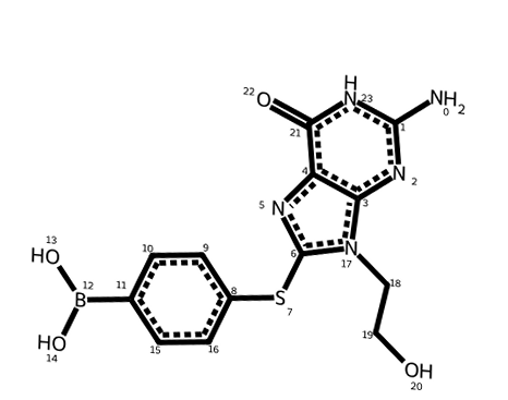 Nc1nc2c(nc(Sc3ccc(B(O)O)cc3)n2CCO)c(=O)[nH]1